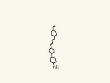 C=CC1CCC(CCC=CC2CCC(C3CCC(CCC)CC3)CC2)CC1